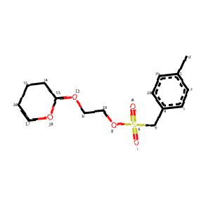 Cc1ccc(CS(=O)(=O)OCCOC2CCCCO2)cc1